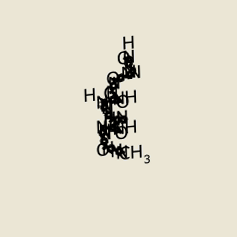 CN1CCN(C2CCN(C(=O)c3ccc(-c4ccc5ncc(-c6cc7c(c(C8CC9(CCCCN9)CCN8C(=O)c8ccc(-c9ccc%10ncc(-c%11cc%12c(c(CN(C)C%13CCN(C(=O)c%14ccc(-c%15ccc%16ncc(-c%17ccc%18c(c%17)CNC%18=O)n%16n%15)cc%14)CC%13)c%11)NC(=O)C%12)n%10n9)cc8)c6)NC(=O)C7)n5n4)cc3)CC2)CC1